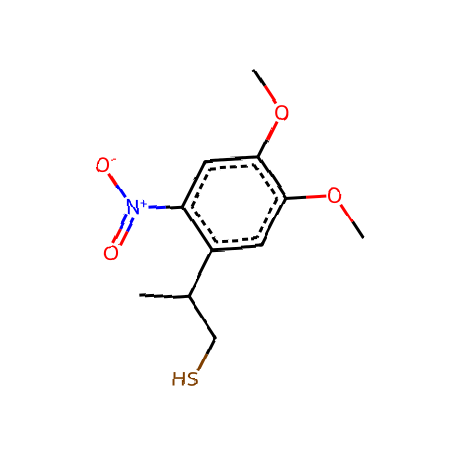 COc1cc(C(C)CS)c([N+](=O)[O-])cc1OC